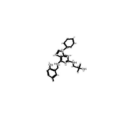 Cc1ccc(O)c(CNc2nc(NCC(C)(C)O)nc3c2ncn3C2CCCCC2)c1